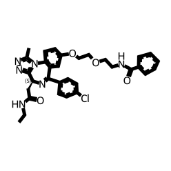 CCNC(=O)C[C@@H]1N=C(c2ccc(Cl)cc2)c2cc(OCCOCCNC(=O)c3ccccc3)ccc2-n2c(C)nnc21